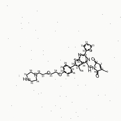 CC1=CC(=O)N(Nc2nc(-c3cccs3)nc3sc(-c4ccc(OCCOCCN5CCNCC5)cc4)c(C)c23)C1=O